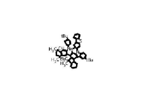 CC(C)(C)c1ccc(N2B3c4cc5c(cc4-n4c6ccc(C(C)(C)C)cc6c6c7c(c(c3c64)-c3cc4c(cc32)C(C)(C)CCC4(C)C)C(C)(C)c2ccccc2-7)sc2ccccc25)cc1